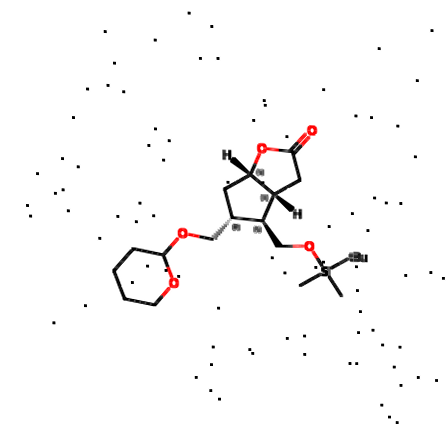 CC(C)(C)[Si](C)(C)OC[C@H]1[C@H](COC2CCCCO2)C[C@@H]2OC(=O)C[C@H]12